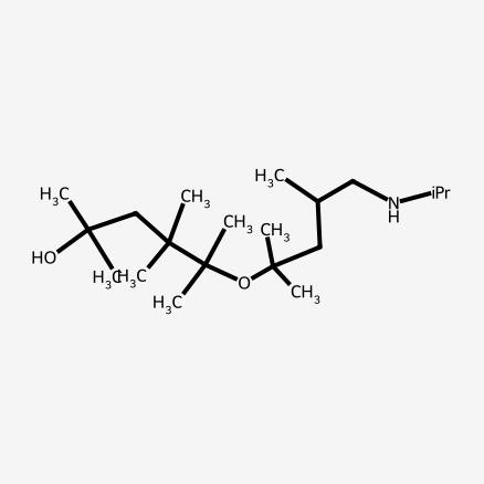 CC(CNC(C)C)CC(C)(C)OC(C)(C)C(C)(C)CC(C)(C)O